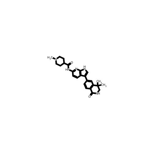 CN1CCC(C(=O)Nc2ccc3c(-c4ccc5c(c4)C(C)(C)CNC5=O)c[nH]c3n2)CC1